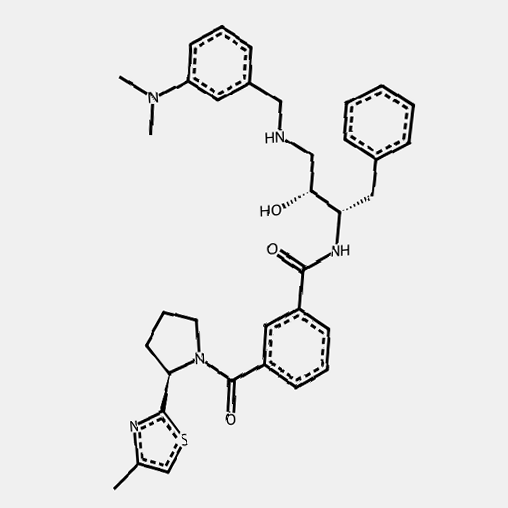 Cc1csc([C@H]2CCCN2C(=O)c2cccc(C(=O)N[C@@H](Cc3ccccc3)[C@H](O)CNCc3cccc(N(C)C)c3)c2)n1